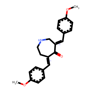 COc1ccc(/C=C2\CCNC/C(=C\c3ccc(OC)cc3)C2=O)cc1